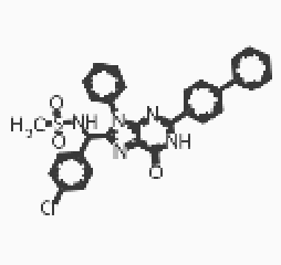 CS(=O)(=O)NC(c1ccc(Cl)cc1)c1nc2c(=O)[nH]c(-c3ccc(-c4ccccc4)cc3)nc2n1-c1ccccc1